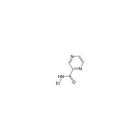 CCNC(=O)c1cn[c]cn1